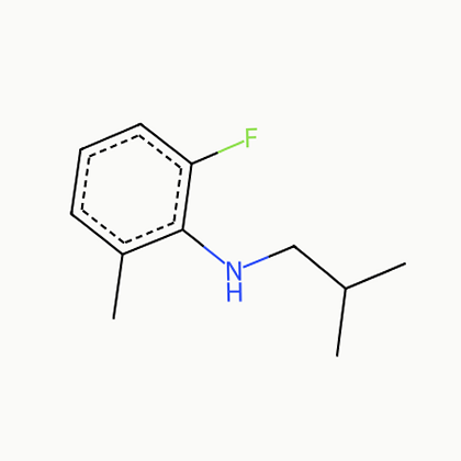 Cc1cccc(F)c1NCC(C)C